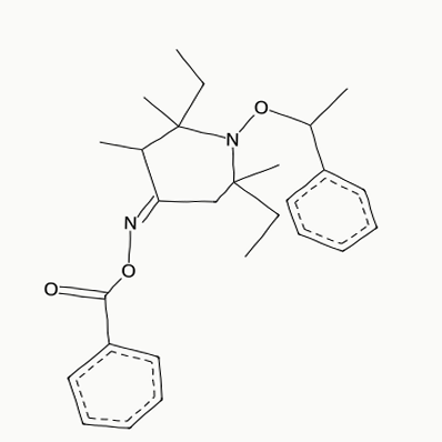 CCC1(C)CC(=NOC(=O)c2ccccc2)C(C)C(C)(CC)N1OC(C)c1ccccc1